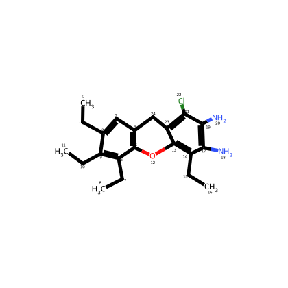 CCc1cc2c(c(CC)c1CC)Oc1c(CC)c(N)c(N)c(Cl)c1C2